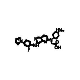 CN[C@H]1CC[C@@H](N(CC(=O)O)c2ccc3cnc(Nc4ccc(-n5cccn5)cc4F)cc3n2)CC1